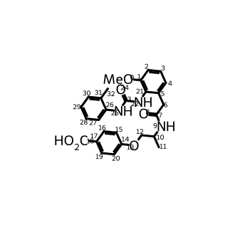 COc1cccc(CC(=O)NC(C)COc2ccc(C(=O)O)cc2)c1NC(=O)Nc1ccccc1C